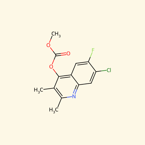 COC(=O)Oc1c(C)c(C)nc2cc(Cl)c(F)cc12